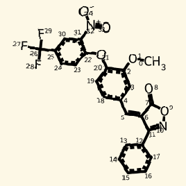 COc1cc(C=C2C(=O)ON=C2c2ccccc2)ccc1Oc1ccc(C(F)(F)F)cc1[N+](=O)[O-]